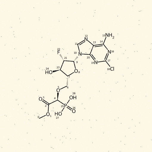 COC(=O)[C@@H](OC[C@H]1O[C@@H](n2cnc3c(N)nc(Cl)nc32)[C@@H](F)[C@@H]1O)P(=O)(O)O